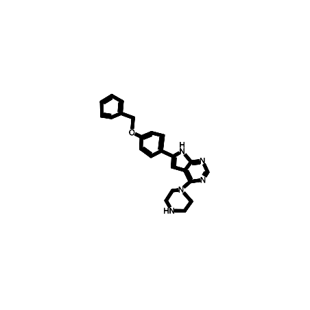 c1ccc(COc2ccc(-c3cc4c(N5CCNCC5)ncnc4[nH]3)cc2)cc1